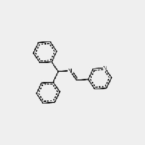 C(=NC(c1ccccc1)c1ccccc1)c1cccnc1